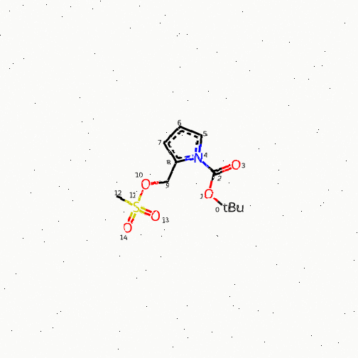 CC(C)(C)OC(=O)n1cccc1COS(C)(=O)=O